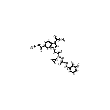 [N-]=[N+]=NC(=O)c1ccc2c(C(N)=O)cn(CC(=O)N(CC(=O)NCc3cccc(Cl)c3F)C3CC3)c2c1